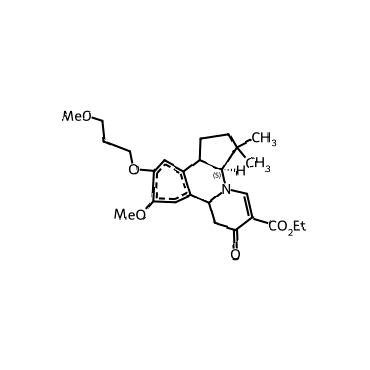 CCOC(=O)C1=CN2C(CC1=O)c1cc(OC)c(OCCCOC)cc1C1CCC(C)(C)[C@H]12